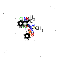 CS/C(=N/S(=O)(=O)c1ccccc1)NNC(=O)c1c(-c2c(Cl)cccc2Cl)noc1C